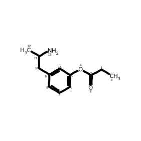 CCC(=O)Oc1cccc(CC(C)N)c1